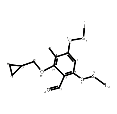 Cc1c(OSI)cc(OSI)c(C=O)c1OCC1CC1